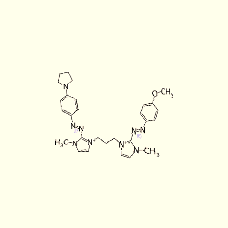 COc1ccc(/N=N/c2n(C)cc[n+]2CCC[n+]2ccn(C)c2/N=N/c2ccc(N3CCCC3)cc2)cc1